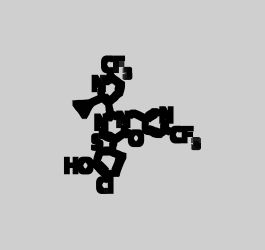 O=c1c2c(nc(-c3ccc(C(F)(F)F)nc3C3CC3)n1Cc1ccc(C(F)(F)F)nc1)sc1c(O)c(Cl)ccc12